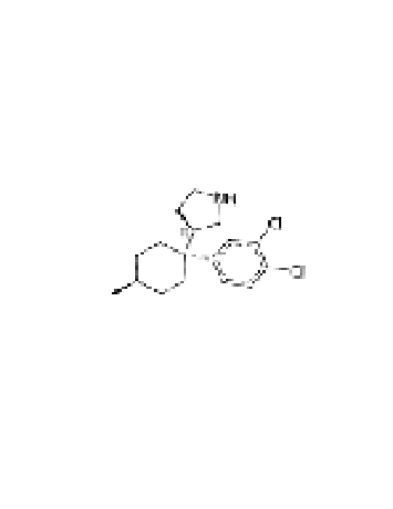 C[C@H]1CC[C@@](c2ccc(Cl)c(Cl)c2)([C@H]2CCNC2)CC1